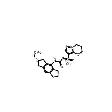 COC[C@H]1Cc2cc3c(c(NC(=O)N=[S@](N)(=O)c4cnn5c4OCCC5)c2C1)CCC3